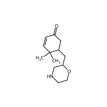 CC1(C)C=CC(=O)CC1CC1CNCCO1